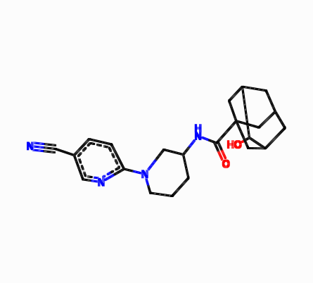 N#Cc1ccc(N2CCCC(NC(=O)C34CC5CC(C3)C(O)C(C5)C4)C2)nc1